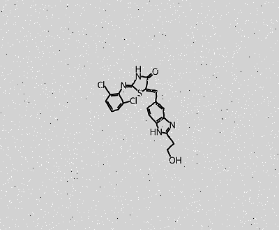 O=C1N/C(=N/c2c(Cl)cccc2Cl)S/C1=C\c1ccc2[nH]c(CCO)nc2c1